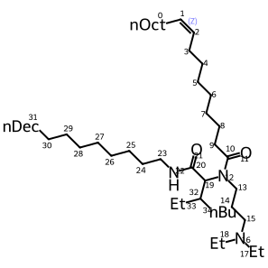 CCCCCCCC/C=C\CCCCCCCC(=O)N(CCCN(CC)CC)C(C(=O)NCCCCCCCCCCCCCCCCCC)C(CC)CCCC